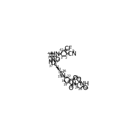 N#Cc1ccc(NC(=O)C2(n3cc(C#CC4CN(c5ccc6c(c5)C(=O)N(C5CCC(=O)NC5=O)C6=O)C4)cn3)CCC2)cc1C(F)(F)F